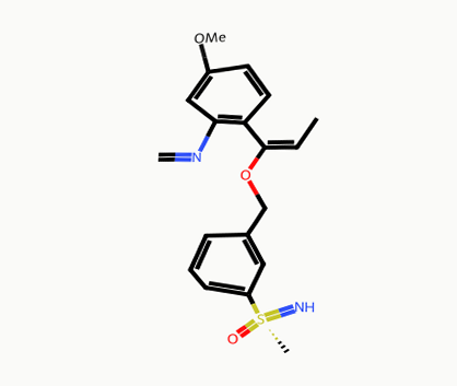 C=Nc1cc(OC)ccc1/C(=C\C)OCc1cccc([S@@](C)(=N)=O)c1